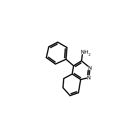 Nc1nnc2c(c1-c1ccccc1)CCC=C2